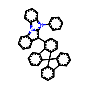 c1ccc(-n2c3ccccc3n3c4ccccc4c(-c4cccc5c4-c4ccccc4C54c5ccccc5-c5ccccc54)c23)cc1